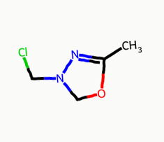 CC1=NN(CCl)CO1